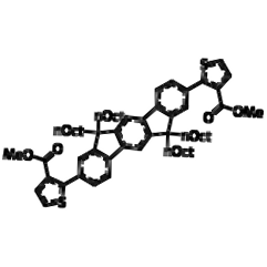 CCCCCCCCC1(CCCCCCCC)c2cc(-c3sccc3C(=O)OC)ccc2-c2cc3c(cc21)-c1ccc(-c2sccc2C(=O)OC)cc1C3(CCCCCCCC)CCCCCCCC